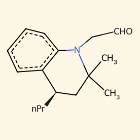 CCC[C@@H]1CC(C)(C)N(CC=O)c2ccccc21